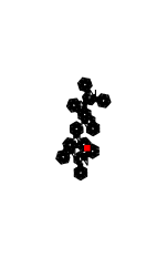 c1ccc(-c2cc(-n3c4ccccc4c4cc5c(cc43)Cc3ccccc3N5c3cccc(-n4c5ccccc5c5c4ccc4c6ccccc6n(-c6cc(-c7ccccc7)nc(-c7ccccc7)c6)c45)c3)cc(-c3ccccc3)n2)cc1